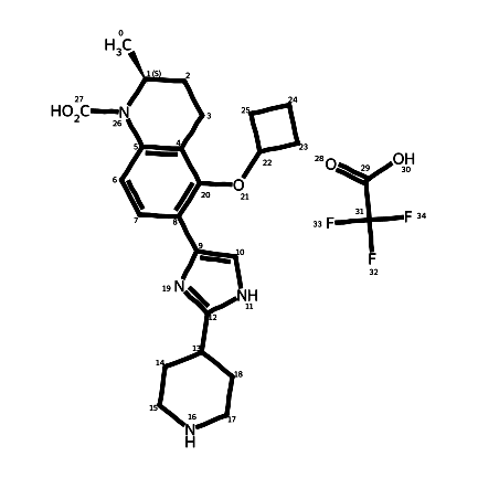 C[C@H]1CCc2c(ccc(-c3c[nH]c(C4CCNCC4)n3)c2OC2CCC2)N1C(=O)O.O=C(O)C(F)(F)F